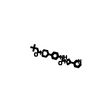 CC(C)(C)CC(=O)N1CCC(c2ccc(NC(=O)N3CC(c4cccnc4)C3)cc2)CC1